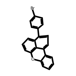 Brc1ccc(-c2ccc3c4c(cccc24)Oc2ccccc2-3)cc1